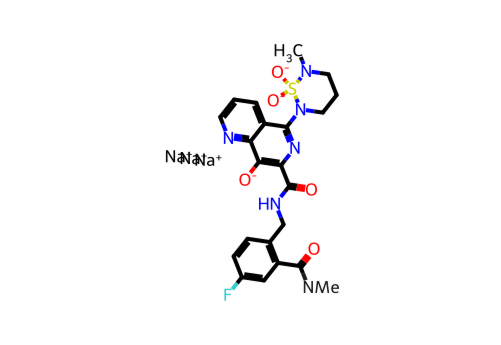 CNC(=O)c1cc(F)ccc1CNC(=O)c1nc(N2CCCN(C)S2([O-])[O-])c2cccnc2c1[O-].[Na+].[Na+].[Na+]